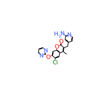 Cc1c(Cc2ccnc(N)c2)c(=O)oc2cc(Oc3ncccn3)c(Cl)cc12